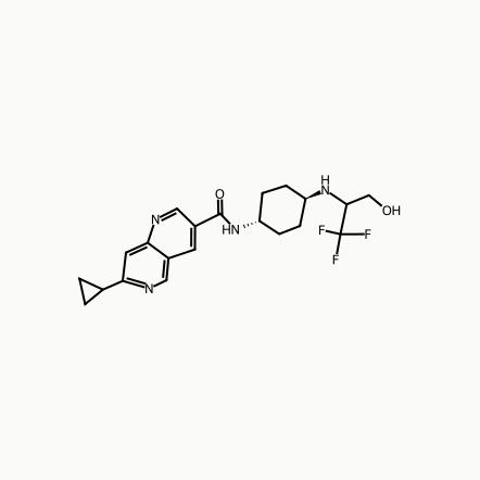 O=C(N[C@H]1CC[C@H](NC(CO)C(F)(F)F)CC1)c1cnc2cc(C3CC3)ncc2c1